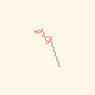 CCCCCCCCCCCC1OCC(OCC(C)O)CO1